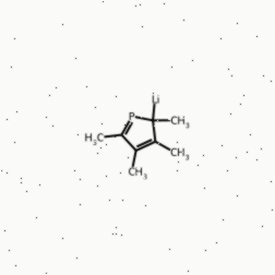 [Li][C]1(C)P=C(C)C(C)=C1C